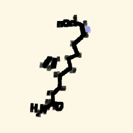 C=C.C=C.CCCCCCCC/C=C\CCCCCCCC(N)=O